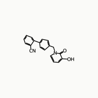 N#Cc1ccccc1-c1ccc(Cn2cccc(O)c2=O)cc1